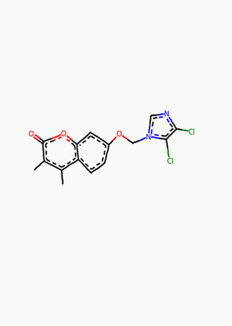 Cc1c(C)c2ccc(OCn3cnc(Cl)c3Cl)cc2oc1=O